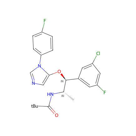 C[C@H](NC(=O)C(C)(C)C)[C@@H](Oc1cncn1-c1ccc(F)cc1)c1cc(F)cc(Cl)c1